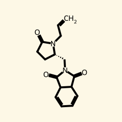 C=CCN1C(=O)CC[C@H]1CN1C(=O)C2C=CC=CC2C1=O